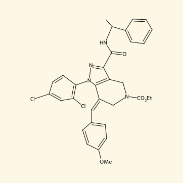 CCOC(=O)N1CC(=Cc2ccc(OC)cc2)c2c(c(C(=O)NC(C)c3ccccc3)nn2-c2ccc(Cl)cc2Cl)C1